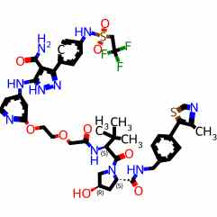 Cc1ncsc1-c1ccc(CNC(=O)[C@@H]2C[C@@H](O)CN2C(=O)[C@@H](NC(=O)COCCOc2cc(Nc3[nH]nc(-c4ccc(NS(=O)(=O)CC(F)(F)F)cc4)c3C(N)=O)ccn2)C(C)(C)C)cc1